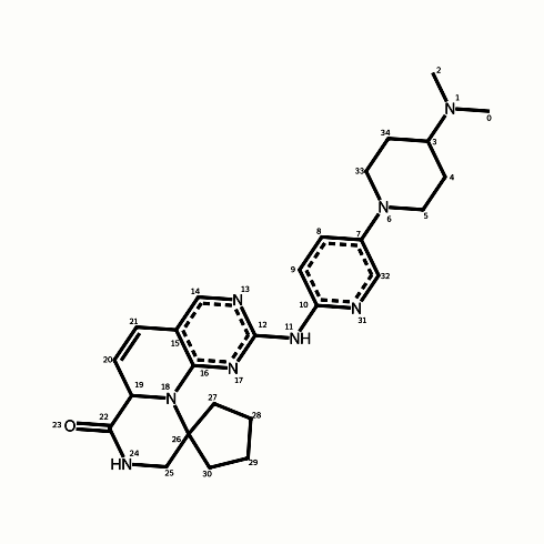 CN(C)C1CCN(c2ccc(Nc3ncc4c(n3)N3C(C=C4)C(=O)NCC34CCCC4)nc2)CC1